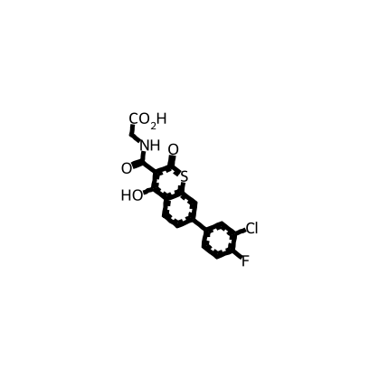 O=C(O)CNC(=O)c1c(O)c2ccc(-c3ccc(F)c(Cl)c3)cc2sc1=O